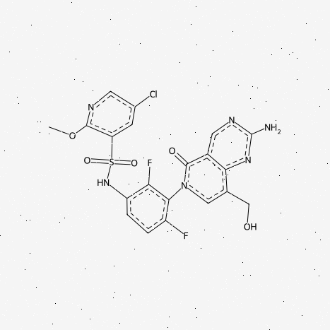 COc1ncc(Cl)cc1S(=O)(=O)Nc1ccc(F)c(-n2cc(CO)c3nc(N)ncc3c2=O)c1F